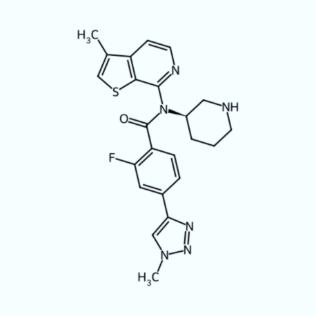 Cc1csc2c(N(C(=O)c3ccc(-c4cn(C)nn4)cc3F)[C@@H]3CCCNC3)nccc12